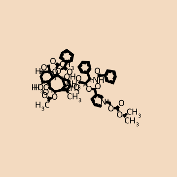 CC(=O)O[C@H]1C(=O)[C@@]2(C)[C@H]([C@H](OC(=O)c3ccccc3)[C@]3(O)C[C@H](OC(=O)[C@H](OC(=O)c4ccc[n+](COC(=O)OC(C)C)c4)[C@@H](NC(=O)c4ccccc4)c4ccccc4)C(C)=C1C3(C)C)[C@]1(OC(C)=O)CO[C@@H]1C[C@@H]2O